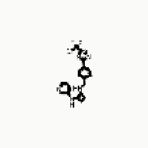 FC(F)(Cl)c1nc(-c2ccc(CNC3=C(Nc4cccnc4)CC3)cc2)no1